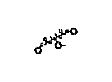 Cc1cccc(N(C(C)OC(=O)COc2ccccc2)C(C)OC(=O)COc2ccccc2)c1